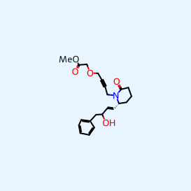 COC(=O)COCC#CCN1C(=O)CCC[C@@H]1/C=C/C(O)Cc1ccccc1